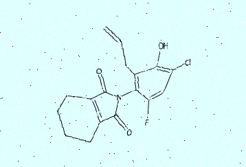 C=CCc1c(O)c(Cl)cc(F)c1N1C(=O)C2=C(CCCC2)C1=O